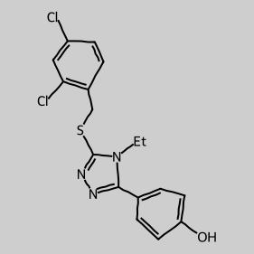 CCn1c(SCc2ccc(Cl)cc2Cl)nnc1-c1ccc(O)cc1